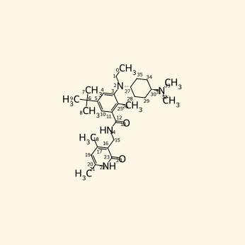 CCN(c1cc(C(C)(C)C)cc(C(=O)NCc2c(C)cc(C)[nH]c2=O)c1C)[C@H]1CC[C@H](N(C)C)CC1